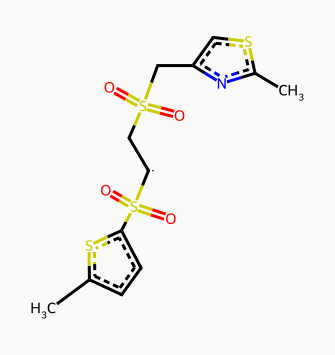 Cc1ccc(S(=O)(=O)[CH]CS(=O)(=O)Cc2csc(C)n2)s1